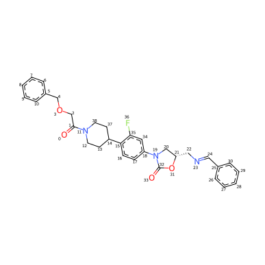 O=C(COCc1ccccc1)N1CCC(c2ccc(N3C[C@H](C/N=C/c4ccccc4)OC3=O)cc2F)CC1